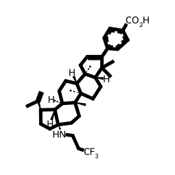 C=C(C)[C@@H]1CC[C@]2(NCCC(F)(F)F)CC[C@]3(C)[C@H](CC[C@@H]4[C@@]5(C)CC=C(c6ccc(C(=O)O)cc6)C(C)(C)[C@@H]5CC[C@]43C)[C@@H]12